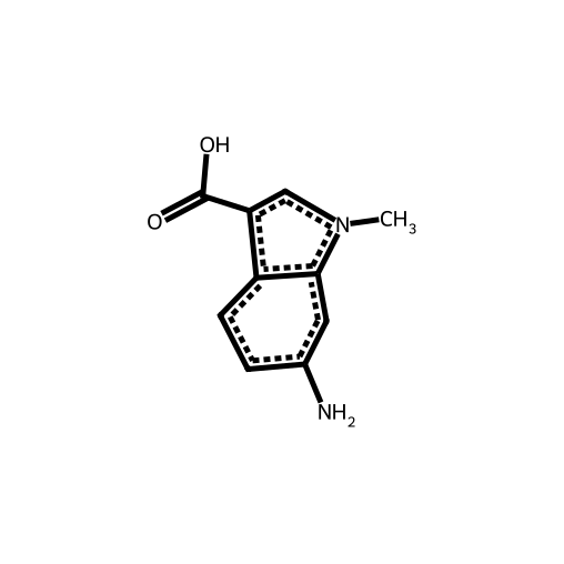 Cn1cc(C(=O)O)c2ccc(N)cc21